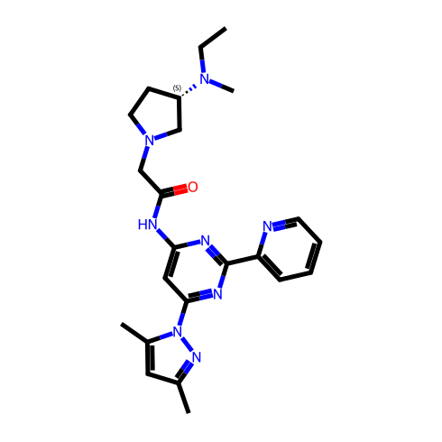 CCN(C)[C@H]1CCN(CC(=O)Nc2cc(-n3nc(C)cc3C)nc(-c3ccccn3)n2)C1